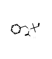 CC(C)(C=O)N(Cc1ccccc1)C(=O)O